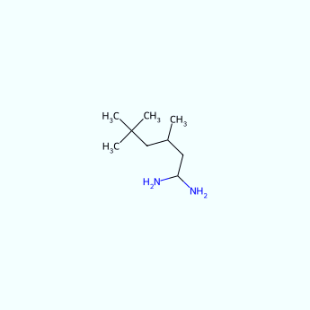 CC(CC(N)N)CC(C)(C)C